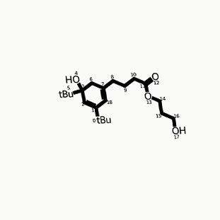 CC(C)(C)C1=CC(O)(C(C)(C)C)CC(CCCC(=O)OCCCO)=C1